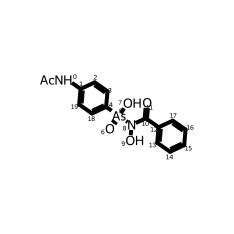 CC(=O)Nc1ccc([As](=O)(O)N(O)C(=O)c2ccccc2)cc1